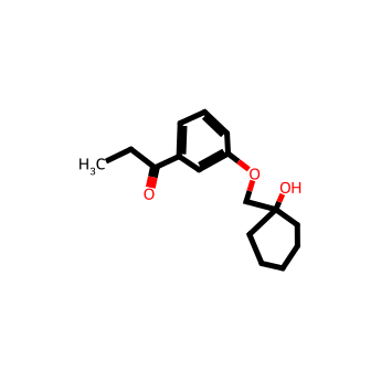 CCC(=O)c1cccc(OCC2(O)CCCCC2)c1